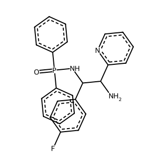 NC(c1ccccn1)C(NP(=O)(c1ccccc1)c1ccccc1)c1ccc(F)cc1